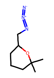 CC1(C)CCCC(CN=[N+]=[N-])O1